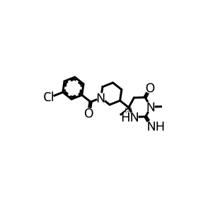 CN1C(=N)N[C@](C)(C2CCCN(C(=O)c3cccc(Cl)c3)C2)CC1=O